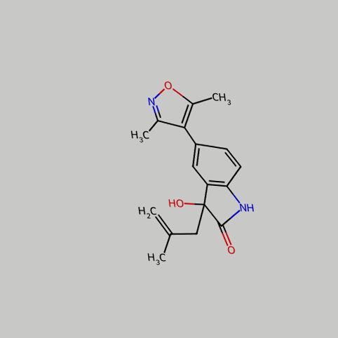 C=C(C)CC1(O)C(=O)Nc2ccc(-c3c(C)noc3C)cc21